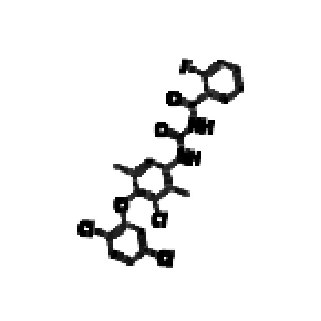 Cc1cc(NC(=O)NC(=O)c2ccccc2F)c(C)c(Cl)c1Oc1cc(Cl)ccc1Cl